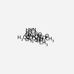 CC(=O)OC[C@H]1O[C@@H](n2cc3c4c2N=CN(C(=O)OC(C)(C)C)C4NNC=N3)[C@](C)(OC(C)=O)[C@@H]1OC(C)=O